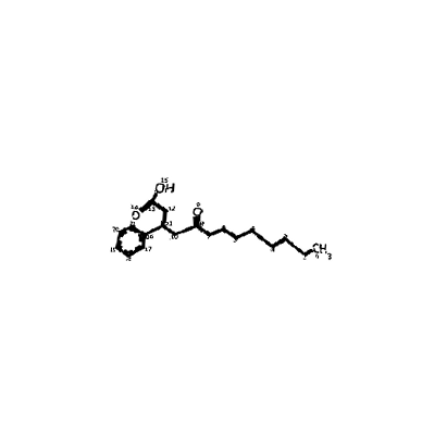 CCCCCCCCC(=O)CC(CC(=O)O)c1ccccc1